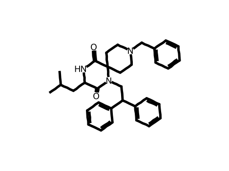 CC(C)CC1NC(=O)C2(CCN(Cc3ccccc3)CC2)N(CC(c2ccccc2)c2ccccc2)C1=O